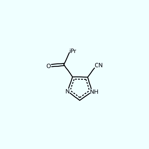 CC(C)C(=O)c1nc[nH]c1C#N